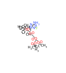 C#C[C@]1(CO[Si](c2ccccc2)(c2ccccc2)C(C)(C)C)O[C@@H](n2cnc3c(N)nc(F)nc32)C[C@@H]1OC(=O)CCC(=O)OC(COC(=O)C(C)C)COC(=O)C(C)C